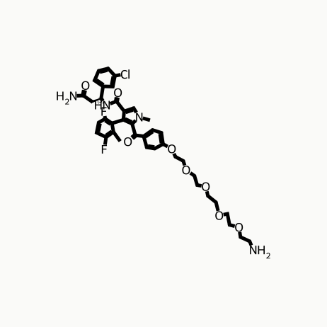 Cc1c(F)ccc(F)c1-c1c(C(=O)N[C@@H](CC(N)=O)c2cccc(Cl)c2)cn(C)c1C(=O)c1ccc(OCCOCCOCCOCCOCCN)cc1